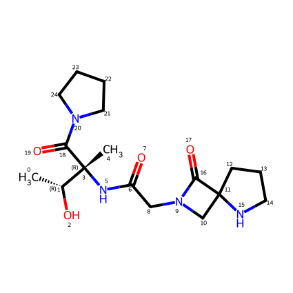 C[C@@H](O)[C@@](C)(NC(=O)CN1CC2(CCCN2)C1=O)C(=O)N1CCCC1